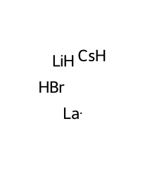 Br.[CsH].[La].[LiH]